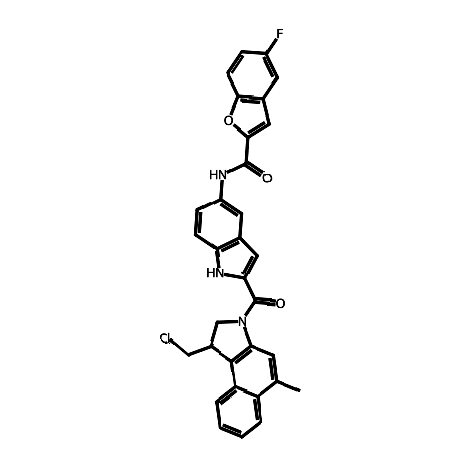 Cc1cc2c(c3ccccc13)C(CCl)CN2C(=O)c1cc2cc(NC(=O)c3cc4cc(F)ccc4o3)ccc2[nH]1